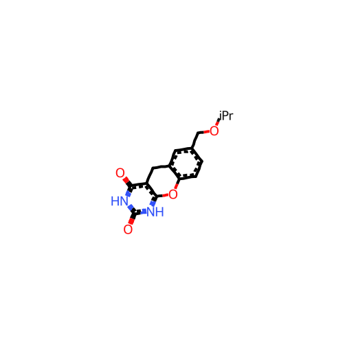 CC(C)OCc1ccc2c(c1)Cc1c([nH]c(=O)[nH]c1=O)O2